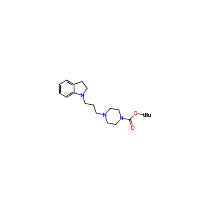 CC(C)(C)OC(=O)N1CCN(CCCN2CCc3ccccc32)CC1